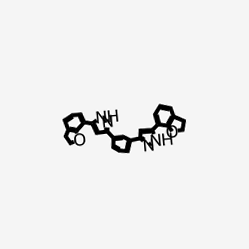 c1cc(-c2cc(-c3cccc4c3OCC4)[nH]n2)cc(-c2cc(-c3cccc4c3OCC4)[nH]n2)c1